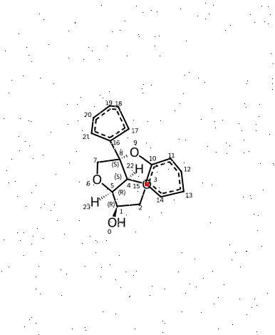 O[C@@H]1CO[C@H]2[C@@H]1OC[C@@]2(Oc1ccccc1)c1ccccc1